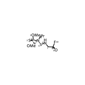 COP(=S)(OC)N(SNCC(=O)F)C(C)C